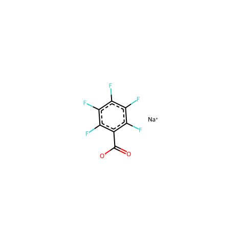 O=C([O-])c1c(F)c(F)c(F)c(F)c1F.[Na+]